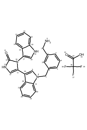 NCc1cccc(Cn2cc(-c3c[nH]c(=O)n3-c3c[nH]c4ccccc34)c3ccccc32)c1.O=C(O)C(F)(F)F